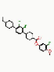 CCC1CCC(c2ccc(C3CCC(C(=O)Oc4ccc(OC)c(F)c4)CC3)c(F)c2F)CC1